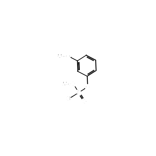 COc1cccc(OP(=O)(Cl)OC)c1